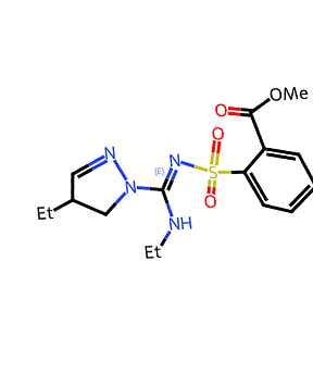 CCN/C(=N\S(=O)(=O)c1ccccc1C(=O)OC)N1CC(CC)C=N1